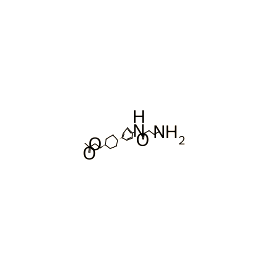 CC(=O)OC[C@H]1CC[C@H](c2ccc(NC(=O)CCN)cc2)CC1